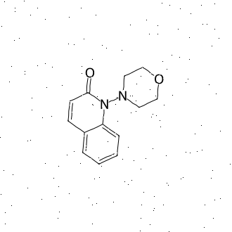 O=c1ccc2ccccc2n1N1CCOCC1